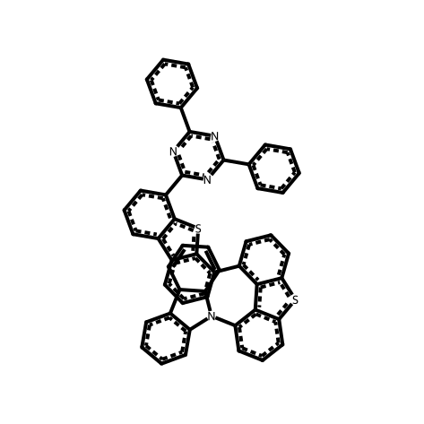 C1=CC2c3ccccc3N(c3cccc4sc5cccc(-c6cccc7c6sc6c(-c8nc(-c9ccccc9)nc(-c9ccccc9)n8)cccc67)c5c34)C2C=C1